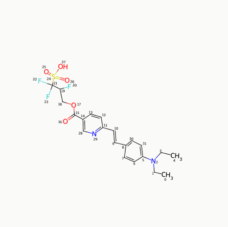 CCN(CC)c1ccc(/C=C/c2ccc(C(=O)OCC(F)C(F)(F)S(=O)(=O)O)cn2)cc1